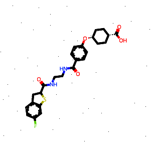 O=C(NCCNC(=O)C1Cc2ccc(F)cc2S1)c1ccc(O[C@H]2CC[C@@H](C(=O)O)CC2)cc1